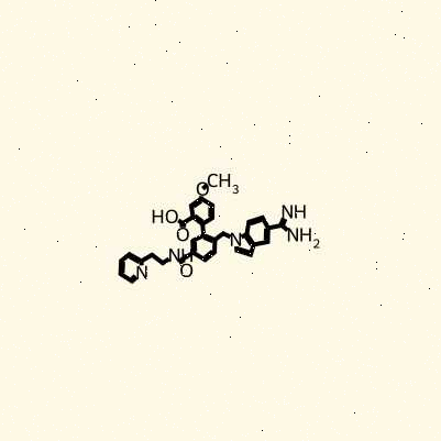 COc1ccc(-c2cc(C(=O)NCCc3ccccn3)ccc2Cn2ccc3cc(C(=N)N)ccc32)c(C(=O)O)c1